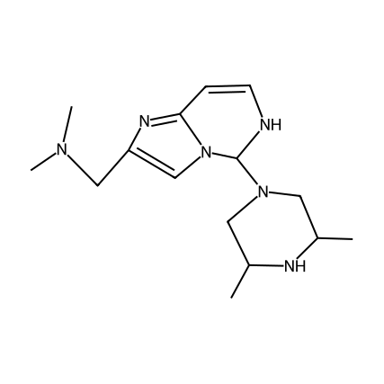 CC1CN(C2NC=Cc3nc(CN(C)C)cn32)CC(C)N1